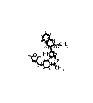 COc1nc2ccccc2cc1-c1nnc([C@@H]2CN(CC3CCOC3)CCN2C(C)=O)[nH]1